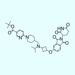 CC(C)N(CC1CCN(c2ccc(C(=O)OC(C)(C)C)cn2)CC1)C1CC(Oc2ccc3c(c2)C(=O)N(C2CCC(=O)NC2=O)C3=O)C1